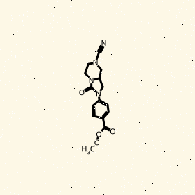 CCOC(=O)c1ccc(N2CC3CN(C#N)CCN3C2=O)cc1